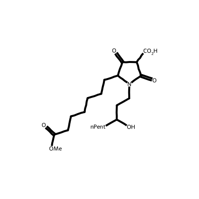 CCCCCC(O)CCN1C(=O)C(C(=O)O)C(=O)C1CCCCCCC(=O)OC